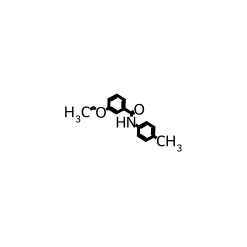 CCOc1cccc(C(=O)Nc2ccc(C)cc2)c1